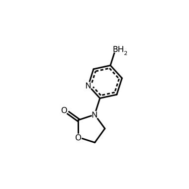 Bc1ccc(N2CCOC2=O)nc1